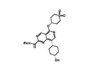 CCCC(C)Nc1ncc2c(OC3CCS(=O)(=O)CC3)ncc([C@H]3CC[C@@H](O)CC3)c2n1